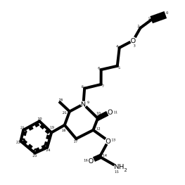 C#CCOCCCCCN1C(=O)C(OC(N)=O)CC(c2ccccc2)C1C